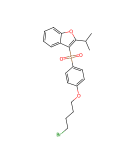 CC(C)c1oc2ccccc2c1S(=O)(=O)c1ccc(OCCCCBr)cc1